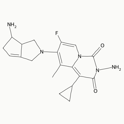 Cc1c(N2CC3=CCC(N)C3C2)c(F)cn2c(=O)n(N)c(=O)c(C3CC3)c12